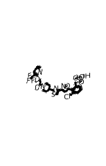 O=C(COc1ncccc1C(F)(F)F)N1CCC(c2nc(C3=NOC(c4c(Cl)cccc4CS(=O)(=O)O)C3)cs2)CC1